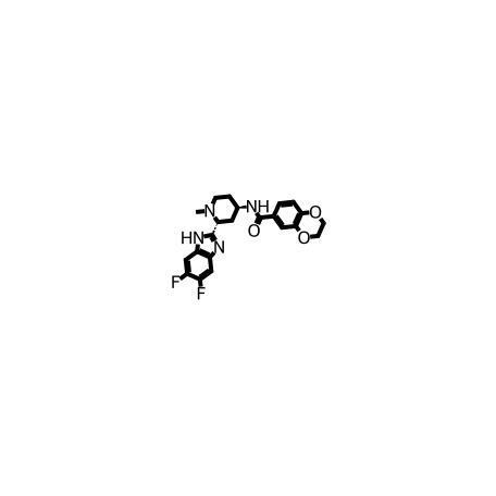 CN1CC[C@@H](NC(=O)c2ccc3c(c2)OCCO3)C[C@@H]1c1nc2cc(F)c(F)cc2[nH]1